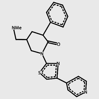 CNCC1CC(c2ccccc2)C(=O)N(c2nc(-c3ccncc3)cs2)C1